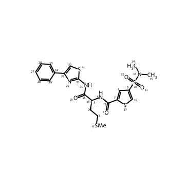 CSCC[C@H](NC(=O)c1cc(S(=O)(=O)N(C)C)cs1)C(=O)Nc1nc(-c2ccccc2)cs1